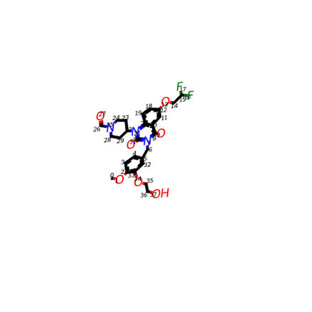 COc1ccc(Cn2c(=O)c3cc(OCC(F)F)ccc3n(C3CCN(C=O)CC3)c2=O)cc1OCCO